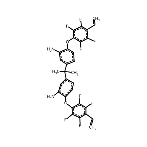 C=Cc1c(F)c(F)c(Oc2ccc(C(C)(C)c3ccc(Oc4c(F)c(F)c(C=C)c(F)c4F)c(N)c3)cc2N)c(F)c1F